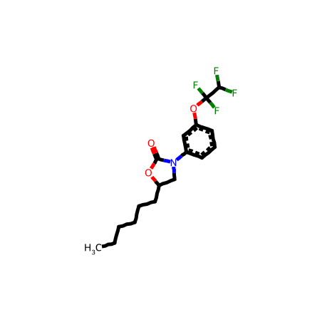 CCCCCCC1CN(c2cccc(OC(F)(F)C(F)F)c2)C(=O)O1